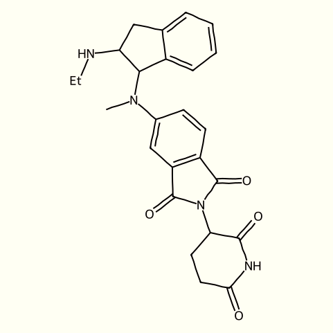 CCNC1Cc2ccccc2C1N(C)c1ccc2c(c1)C(=O)N(C1CCC(=O)NC1=O)C2=O